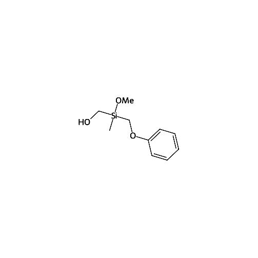 CO[Si](C)(CO)COc1ccccc1